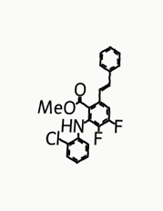 COC(=O)c1c(/C=C/c2ccccc2)cc(F)c(F)c1Nc1ccccc1Cl